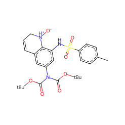 Cc1ccc(S(=O)(=O)Nc2cc(N(C(=O)OC(C)(C)C)C(=O)OC(C)(C)C)cc3c2[NH+]([O-])CC=C3)cc1